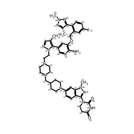 Cc1cnn(CCN2CCN(CC3CCN(c4ccc5c(N6CCC(=O)NC6=O)nn(C)c5c4)CC3)CC2)c1-c1cnc(N)c(O[C@H](C)c2cc(F)ccc2-c2cnn(C)n2)c1